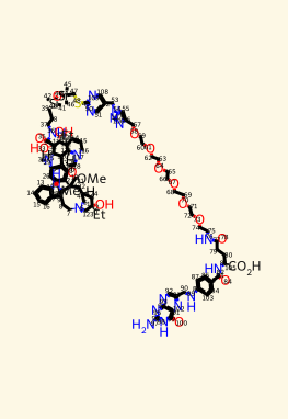 CC[C@]1(O)C[C@H]2C[N@](CCc3c([nH]c4ccccc34)[C@@](C(=O)OC)(c3cc4c(cc3OC)N(C)[C@H]3[C@@](O)(C(=O)NCCC[Si](C)(C)O[Si](C)(C)CSc5ncc(Cn6cc(COCCOCCOCCOCCOCCOCCNC(=O)CC[C@H](NC(=O)c7ccc(NCc8cnc9nc(N)[nH]c(=O)c9n8)cc7)C(=O)O)nn6)cn5)[C@H](O)[C@]5(CC)C=CCN6CC[C@]43[C@@H]65)C2)C1